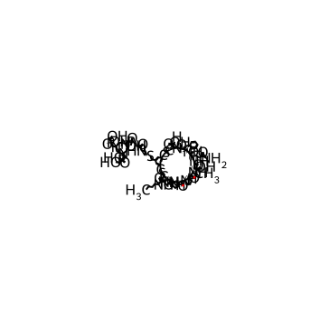 CCCCNC(=O)N[C@H]1CSCc2cc(CSCCNC(=O)CCP(=O)(O)CN3CCN(CP(=O)(O)CO)CCN(CP(=O)(O)CO)CC3)cc(c2)CSCC(C(=O)O)NC(=O)[C@H](Cc2ccccc2)NC(=O)[C@H](CCC(N)=O)NC(=O)[C@H]([C@@H](C)O)NC(=O)[C@@H]2CCCN2C(=O)[C@@H]2CCCN2C1=O